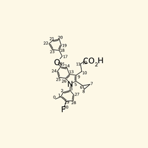 Cc1cc(-n2c(C3CC3)c(CCC(=O)O)c3cc(OCc4ccccc4)ccc32)ccc1F